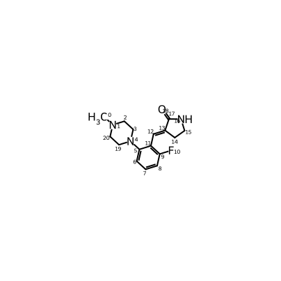 CN1CCN(c2cccc(F)c2C=C2CCNC2=O)CC1